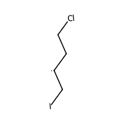 ClCC[CH]CI